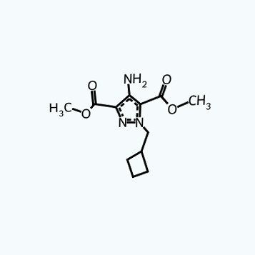 COC(=O)c1nn(CC2CCC2)c(C(=O)OC)c1N